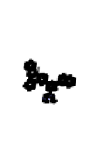 C=C/C=C(\C=C/C)c1cc(-c2ccc(-c3nc4ccccc4cc3-c3ccccc3)cc2)cc(-c2ccc3ccccc3c2)c1